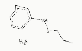 CCCSNc1ccccc1.S